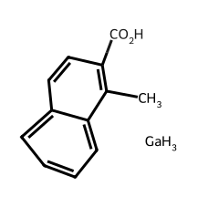 Cc1c(C(=O)O)ccc2ccccc12.[GaH3]